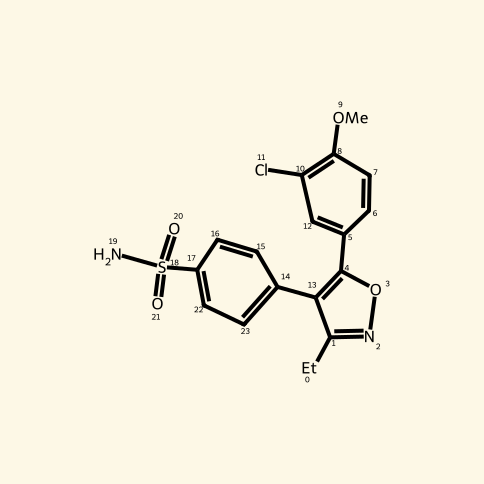 CCc1noc(-c2ccc(OC)c(Cl)c2)c1-c1ccc(S(N)(=O)=O)cc1